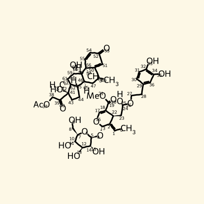 C/C=C1/[C@H](O[C@@H]2O[C@H](CO)[C@@H](O)[C@H](O)[C@H]2O)OC=C(C(=O)OC)[C@H]1CC(O)OCCc1ccc(O)c(O)c1.CC(=O)OCC(=O)[C@@]1(O)CC[C@H]2[C@@H]3C[C@H](C)C4=CC(=O)C=C[C@]4(C)[C@H]3[C@@H](O)C[C@@]21C